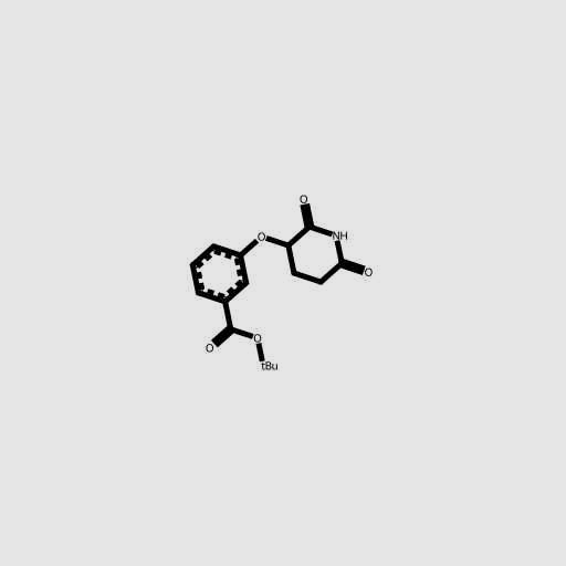 CC(C)(C)OC(=O)c1cccc(OC2CCC(=O)NC2=O)c1